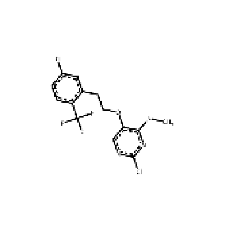 CNc1nc(Cl)ncc1OCCc1cc(Cl)ccc1C(F)(F)F